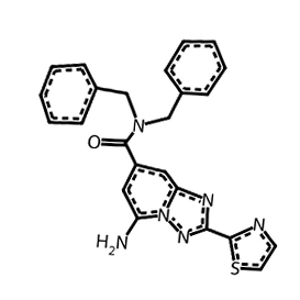 Nc1cc(C(=O)N(Cc2ccccc2)Cc2ccccc2)cc2nc(-c3nccs3)nn12